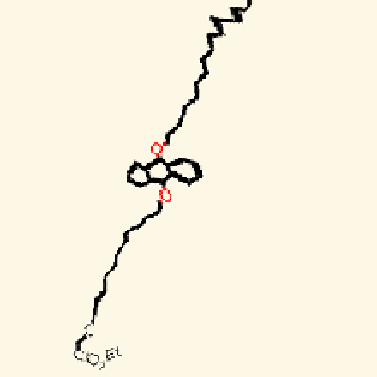 CCOC(=O)CCCCCCCCCCCCCCCOc1c2ccccc2c(OCCCCCCCCCCCCCCCC(=O)OCC)c2ccccc12